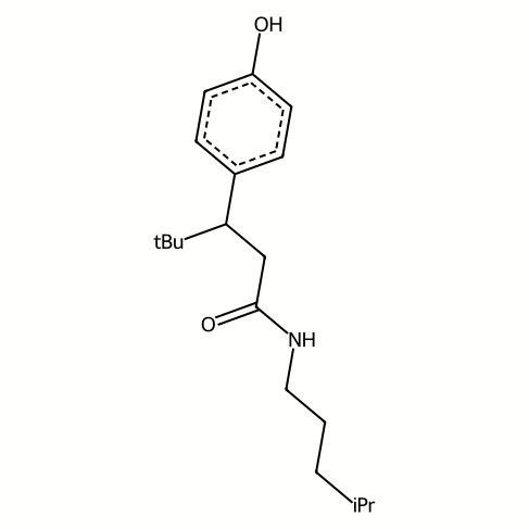 CC(C)CCCNC(=O)CC(c1ccc(O)cc1)C(C)(C)C